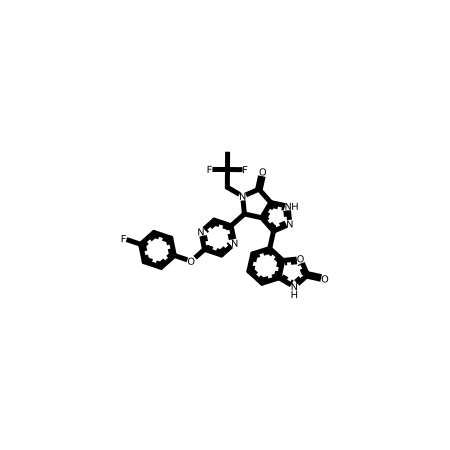 CC(F)(F)CN1C(=O)c2[nH]nc(-c3cccc4[nH]c(=O)oc34)c2C1c1cnc(Oc2ccc(F)cc2)cn1